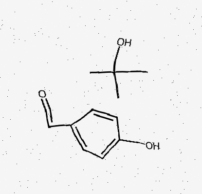 CC(C)(C)O.O=Cc1ccc(O)cc1